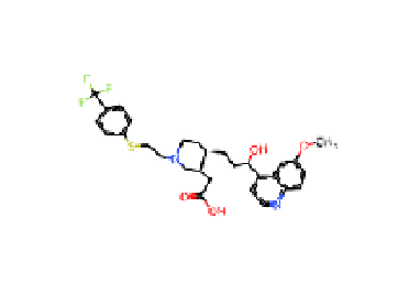 COc1ccc2nccc([C@H](O)CC[C@@H]3CCN(CCSc4ccc(C(F)(F)F)cc4)C[C@@H]3CC(=O)O)c2c1